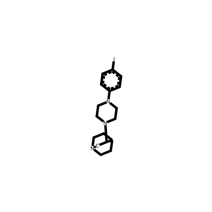 Ic1ccc(N2CCN(C3CN4CCC3CC4)CC2)cc1